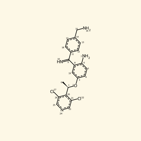 C[C@@H](Oc1ccc(N)c(C(=N)c2ccc(CN)cc2)c1)c1c(Cl)cncc1Cl